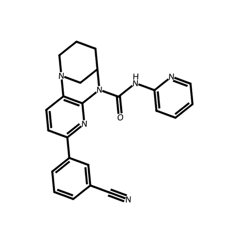 N#Cc1cccc(-c2ccc3c(n2)N(C(=O)Nc2ccccn2)C2CCCN3C2)c1